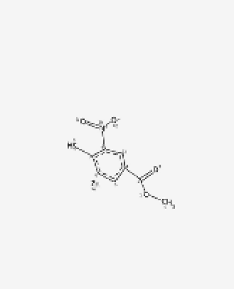 COC(=O)c1ccc(S)c([N+](=O)[O-])c1.[Zn]